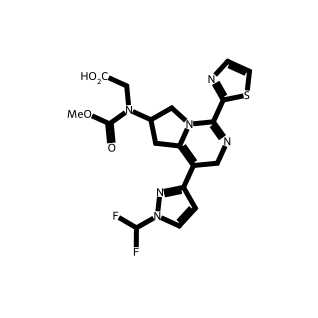 COC(=O)N(CC(=O)O)C1CC2=C(c3ccn(C(F)F)n3)CN=C(c3nccs3)N2C1